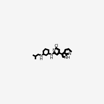 CC(C)CNC1CCCC(Nc2cc(-c3c[nH]c4ncccc34)cc(Cl)n2)C1